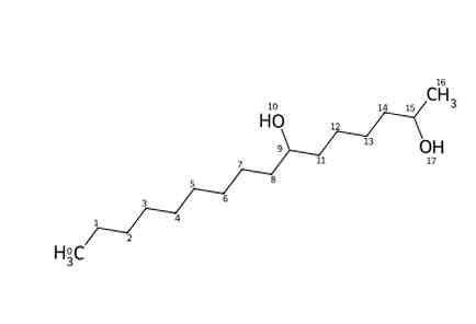 CCCCCCCCCC(O)CCCCC(C)O